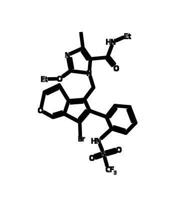 CCNC(=O)c1c(C)nc(OCC)n1Cc1c2ccocc-2c(Br)c1-c1ccccc1NS(=O)(=O)C(F)(F)F